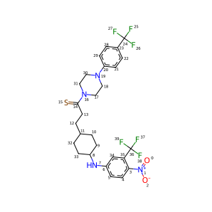 O=[N+]([O-])c1ccc(NC2CCC(CCC(=S)N3CCN(c4ccc(C(F)(F)F)cc4)CC3)CC2)cc1C(F)(F)F